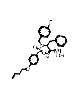 C=CCCOc1ccc(S(=O)(=O)N(Cc2ccc(F)cc2)C(Cc2ccccc2)C(=O)NO)cc1